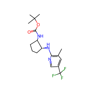 Cc1cc(C(F)(F)F)cnc1N[C@H]1CCCC1NC(=O)OC(C)(C)C